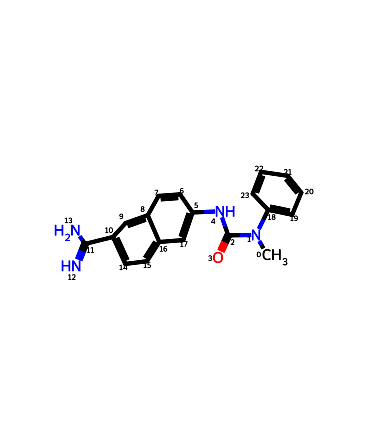 CN(C(=O)Nc1ccc2cc(C(=N)N)ccc2c1)c1ccccc1